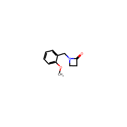 COc1ccccc1CN1CCC1=O